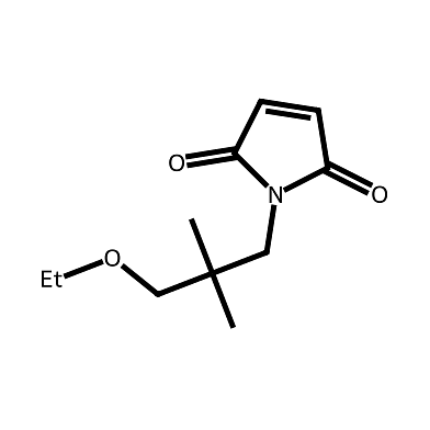 CCOCC(C)(C)CN1C(=O)C=CC1=O